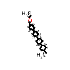 C=CC1CCC(C2CCC(c3ccc(-c4ccc(COCCC)cc4)cc3)CC2)CC1